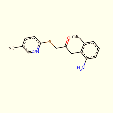 CCCCc1cccc(N)c1CC(=O)CSc1ccc(C#N)cn1